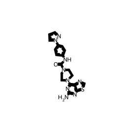 Nc1nc(N2CCN(C(=O)Nc3ccc(-n4cccn4)cc3)CC2)c2ncsc2n1